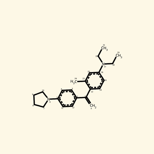 C=C(c1ccc(N2CCCC2)cc1)c1ccc(N(CC)CC)cc1C